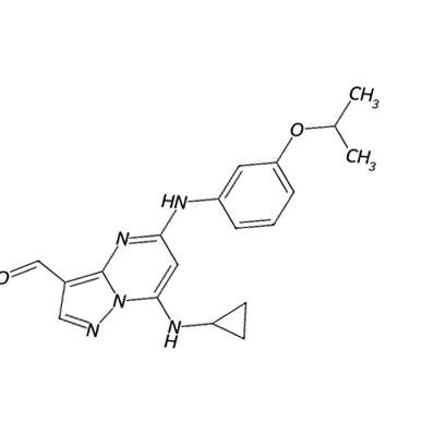 CC(C)Oc1cccc(Nc2cc(NC3CC3)n3ncc(C=O)c3n2)c1